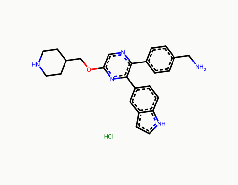 Cl.NCc1ccc(-c2ncc(OCC3CCNCC3)nc2-c2ccc3[nH]ccc3c2)cc1